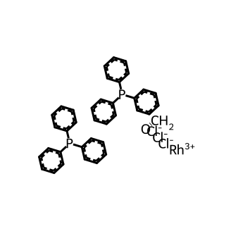 C=O.[Cl-].[Cl-].[Cl-].[Rh+3].c1ccc(P(c2ccccc2)c2ccccc2)cc1.c1ccc(P(c2ccccc2)c2ccccc2)cc1